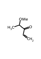 C=CC(=O)C(C)OC